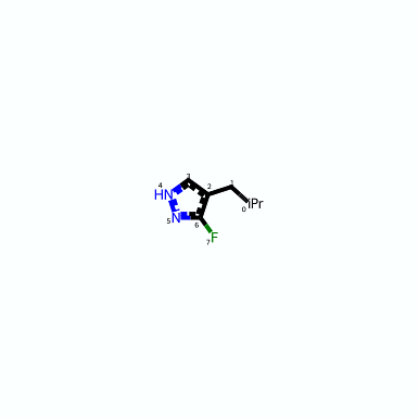 CC(C)Cc1c[nH]nc1F